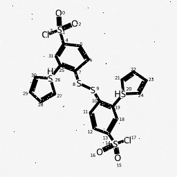 O=S(=O)(Cl)c1ccc(SSc2ccc(S(=O)(=O)Cl)cc2[SH]2C=CC=C2)c([SH]2C=CC=C2)c1